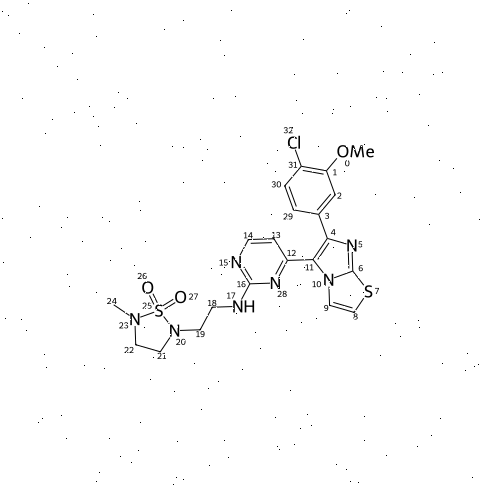 COc1cc(-c2nc3sccn3c2-c2ccnc(NCCN3CCN(C)S3(=O)=O)n2)ccc1Cl